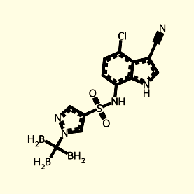 BC(B)(B)n1cc(S(=O)(=O)Nc2ccc(Cl)c3c(C#N)c[nH]c23)cn1